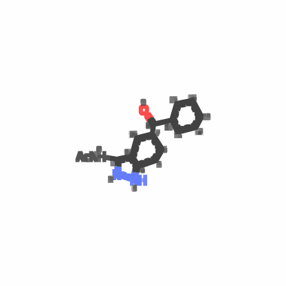 CC(=O)Nc1n[nH]c2ccc(C(=O)c3ccccc3)cc12